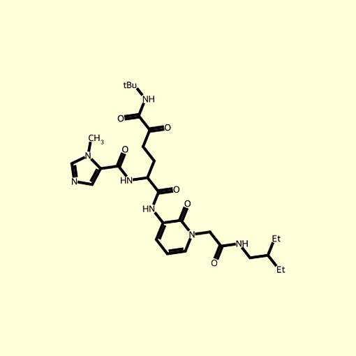 CCC(CC)CNC(=O)Cn1cccc(NC(=O)C(CCC(=O)C(=O)NC(C)(C)C)NC(=O)c2cncn2C)c1=O